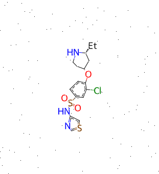 CC[C@H]1C[C@H](Oc2ccc(S(=O)(=O)Nc3cscn3)cc2Cl)CCN1